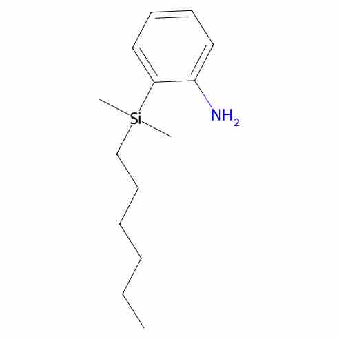 CCCCCC[Si](C)(C)c1ccccc1N